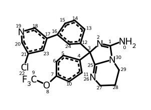 NC1=NC(c2ccc(OC(F)(F)F)cc2)(c2cccc(-c3cncc(Cl)c3)c2)C2=NCCCN12